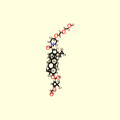 COCCOCCOC1CCN(C(=O)[C@@H]2C[C@@H](C3(C)CC3)[C@H]3C2CC[C@]2(C)[C@@H]3CC[C@@H]3[C@@]4(C)CC[C@H](OC(=O)[C@H]5C[C@@H](OC=O)C5(C)C)C(C)(C)[C@@H]4CC[C@]32C)CC1